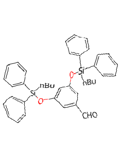 CCCC[Si](Oc1cc(C=O)cc(O[Si](CCCC)(c2ccccc2)c2ccccc2)c1)(c1ccccc1)c1ccccc1